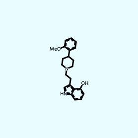 COc1ccccc1C1CCN(CCc2c[nH]c3cccc(O)c23)CC1